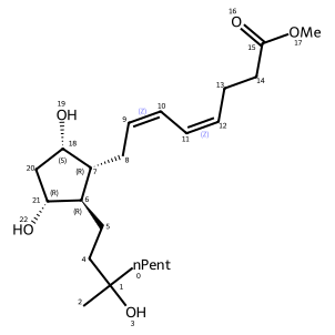 CCCCCC(C)(O)CC[C@@H]1[C@@H](C/C=C\C=C/CCC(=O)OC)[C@@H](O)C[C@H]1O